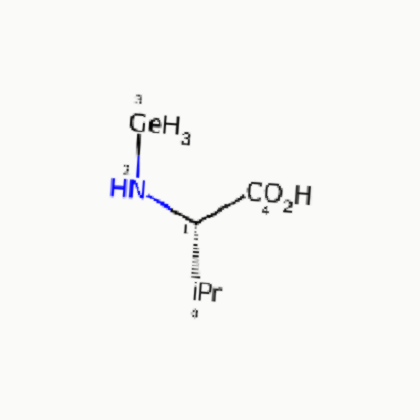 CC(C)[C@H]([NH][GeH3])C(=O)O